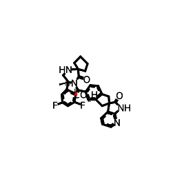 C[C@@]1(c2cc(F)cc(F)c2)CNC2(CCCC2)C(=O)N1[C@@H](C(=O)O)c1ccc2c(c1)CC1(C2)C(=O)Nc2ncccc21